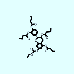 CCCC(=O)Oc1ccc([C@H]2Oc3cc(OC(=O)OCC)cc(OC(=O)CCC)c3C[C@H]2OC(=O)CCC)cc1OC(=O)CCC